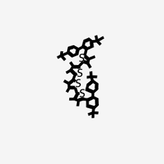 Cc1c(-c2cc(C(C)(C)C)ccc2-c2ccc(C(C)(C)C)cc2)sc(-c2sc(-c3sc(-c4sc(-c5cc(C(C)(C)C)ccc5-c5ccc(C(C)(C)C)cc5)c(C)c4C)c(C)c3C)c(C)c2C)c1C